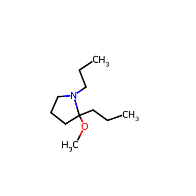 CCCN1CCCC1(CCC)OC